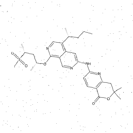 CCC[C@@H](C)c1cnc(O[C@H](C)C[C@@H](C)S(C)(=O)=O)c2cnc(Nc3ccc4c(n3)CC(C)(C)OC4=O)cc12